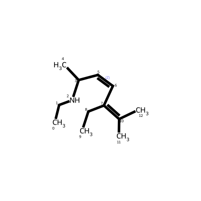 CCNC(C)/C=C\C(CC)=C(C)C